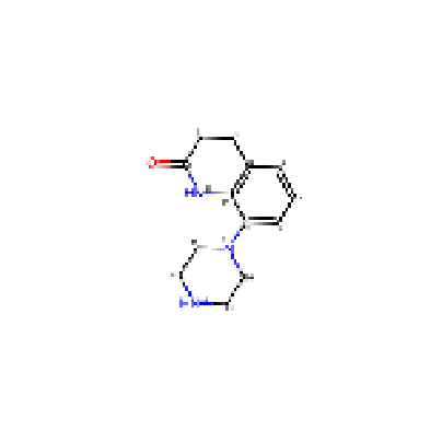 O=C1CCc2cccc(N3CCNCC3)c2N1